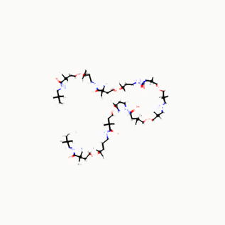 CCC(C)(CNCC(C)(CC)COCC(C)(CC)CC(=O)NCCC(C)(C)OCCC(C)(C)C(=O)NCCC(C)(C)OCCC(C)(C)C(=O)NCC(C)(C)CC(C)(C)C)COCC(C)(CC)CC(=O)NCCC(C)(C)OCCC(C)(C)C(=O)NCCCC(C)(C)OCCC(C)(C)C(=O)NCC(C)(C)CC(C)(C)C